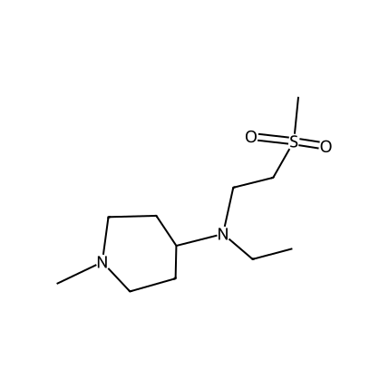 CCN(CCS(C)(=O)=O)C1CCN(C)CC1